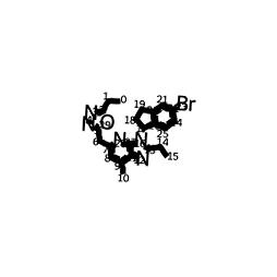 CCc1nnc(Cc2cc(C)c3nc(CC)n([C@H]4CCc5cc(Br)ccc54)c3n2)o1